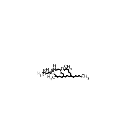 CCCCC/C=C(\CC/C=C(/C)COCCCNC)CCCC(CI)CC/C=C(/C)COCCCN(C)C